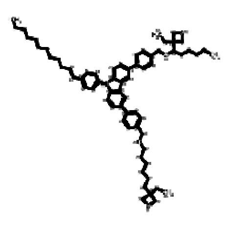 CCCCCCCCCCCCc1ccc(-n2c3ccc(-c4ccc(COCCCCCCC5(CC)COC5)cc4)cc3c3cc(-c4ccc(COC(CCCCC)C5(CC)COC5)cc4)ccc32)cc1